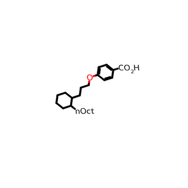 CCCCCCCCC1CCCCC1CCCOc1ccc(C(=O)O)cc1